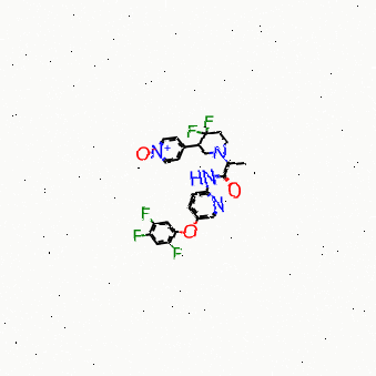 CC(C(=O)Nc1ccc(Oc2cc(F)c(F)cc2F)cn1)N1CCC(F)(F)C(c2cc[n+]([O-])cc2)C1